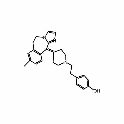 Cc1ccc2c(c1)CCn1ccnc1C2=C1CCN(CCc2ccc(O)cc2)CC1